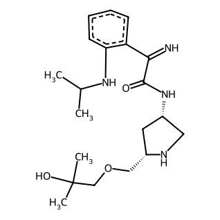 CC(C)Nc1ccccc1C(=N)C(=O)N[C@@H]1CN[C@H](COCC(C)(C)O)C1